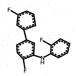 Fc1cccc(-c2ccc(F)c(Nc3ccccc3F)c2)c1